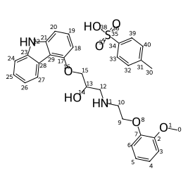 COc1ccccc1OCCNCC(O)COc1cccc2[nH]c3ccccc3c12.Cc1ccc(S(=O)(=O)O)cc1